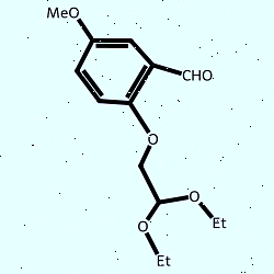 CCOC(COc1ccc(OC)cc1C=O)OCC